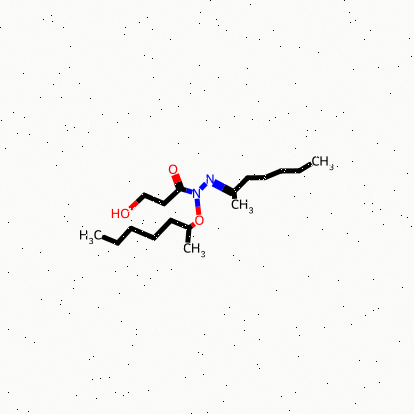 CCCCC/C(C)=N/N(OC(C)CCCCC)C(=O)CCO